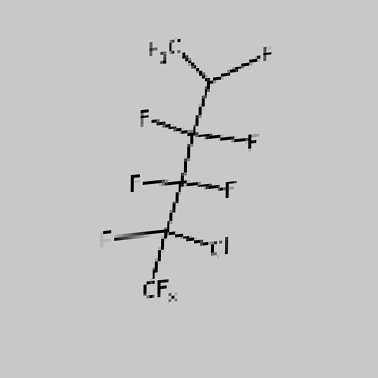 FC(C(F)(F)F)C(F)(F)C(F)(F)C(F)(Cl)C(F)(F)F